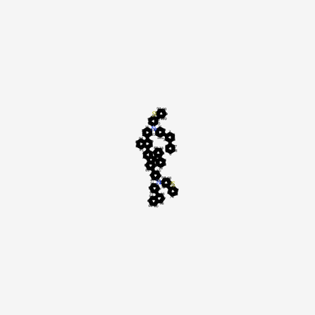 c1ccc(-c2cccc(-c3ccc(N(c4cccc(-c5ccc(-c6ccc7c(c6)C(c6ccccc6)(c6ccccc6)c6cc(-c8ccc(N(c9cccc(-c%10cccc%11ccccc%10%11)c9)c9ccc%10sc%11ccccc%11c%10c9)cc8)ccc6-7)c6ccccc56)c4)c4ccc5sc6ccccc6c5c4)cc3)c2)cc1